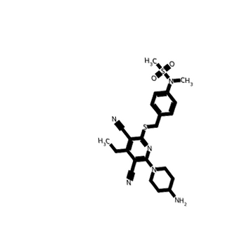 CCc1c(C#N)c(SCc2ccc(N(C)S(C)(=O)=O)cc2)nc(N2CCC(N)CC2)c1C#N